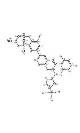 Cc1cc(C)c(C(=O)N(Cc2ccc(-c3cc(F)c(CO)c(S(=O)(=O)CC(=O)O)c3)cc2)Cc2ccc(C(F)(F)F)o2)c(C)c1